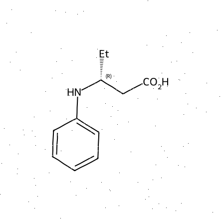 CC[C@H](CC(=O)O)Nc1ccccc1